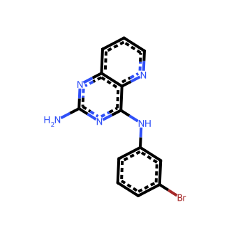 Nc1nc(Nc2cccc(Br)c2)c2ncccc2n1